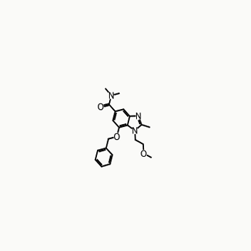 COCCn1c(C)nc2cc(C(=O)N(C)C)cc(OCc3ccccc3)c21